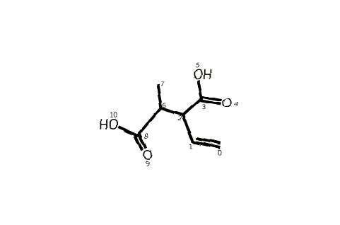 C=CC(C(=O)O)C(C)C(=O)O